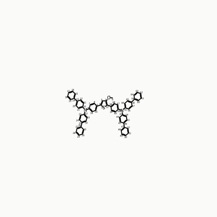 COc1cc(-c2ccc(N(c3ccc(-c4ccccc4)cc3)c3ccc(-c4ccccc4)cc3)cc2)sc1-c1ccc(N(c2ccc(-c3ccccc3)cc2)c2ccc(-c3ccccc3)cc2)cc1